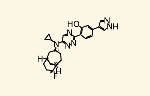 Oc1cc(-c2cn[nH]c2)ccc1-c1ncc(N(C2CC2)[C@H]2CC[C@H]3C[C@H](CC[C@H]3F)C2)nn1